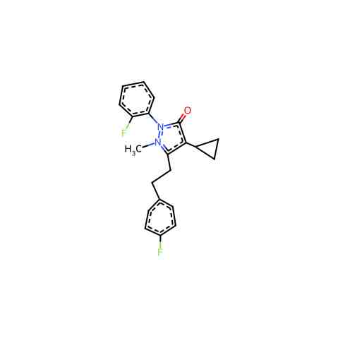 Cn1c(CCc2ccc(F)cc2)c(C2CC2)c(=O)n1-c1ccccc1F